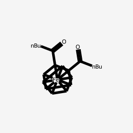 CCCCC(=O)[C]12[CH]3[CH]4[CH]5[C]1(C(=O)CCCC)[Fe]43521678[CH]2[CH]1[CH]6[CH]7[CH]28